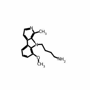 COc1cccc2c3ccnc(C)c3n(CCCCN)c12